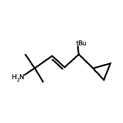 CC(C)(N)/C=C/C(C1CC1)C(C)(C)C